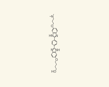 CN(C)CCCOc1ccc2nc(-c3ccc(-c4nc5ccc(OCCCCO)cc5[nH]4)cc3)[nH]c2c1